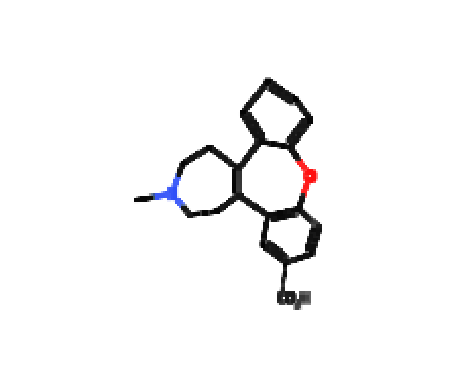 CN1CCC2=C(CC1)c1cc(C(=O)O)ccc1Oc1ccccc12